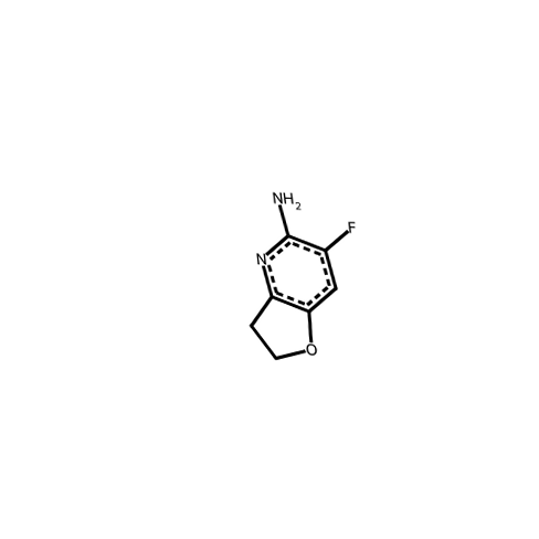 Nc1nc2c(cc1F)OCC2